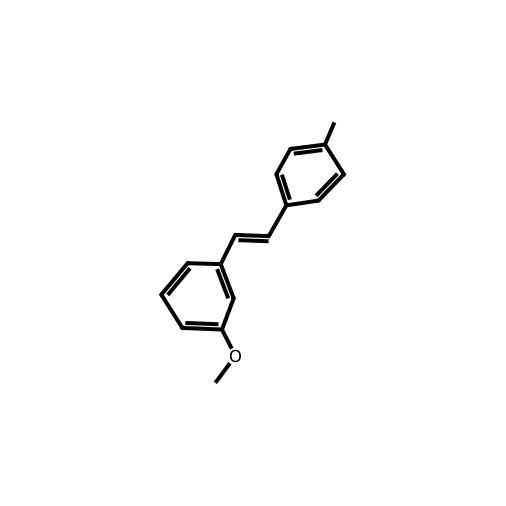 COc1cccc(/C=C/c2ccc(C)cc2)c1